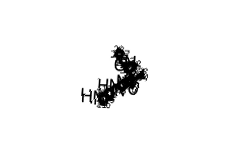 O=c1c2cnc(Nc3ccc4c(c3)CNCC4)nc2n(-c2ccnc(OC3CCC3)c2)n1C1CC1